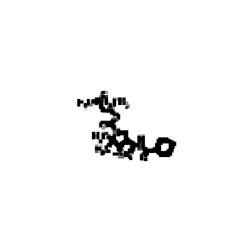 C[C@@H](CN(C)C)OC(=O)N1Cc2c(NC(=O)c3ccccc3)n[nH]c2C1(C)C